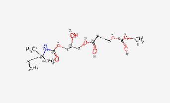 CCC(C)(C)NC(=O)OCC(O)COC(=O)CCOC(=O)OC